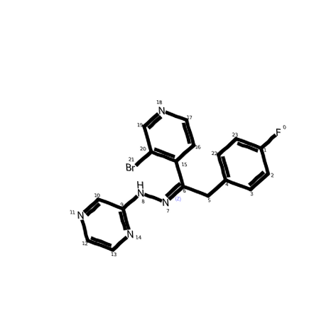 Fc1ccc(C/C(=N/Nc2cnccn2)c2ccncc2Br)cc1